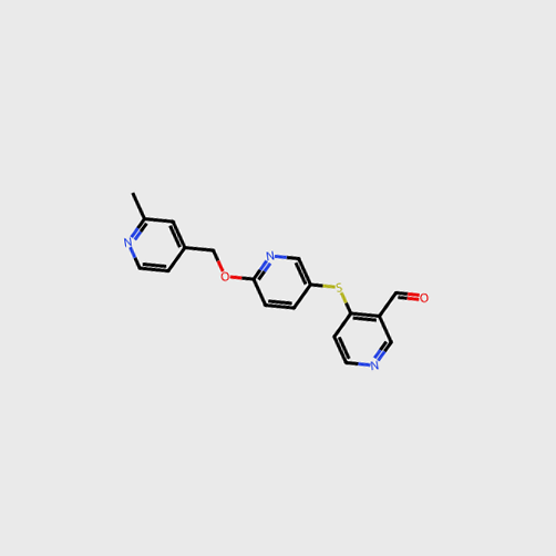 Cc1cc(COc2ccc(Sc3ccncc3C=O)cn2)ccn1